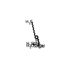 CCCCCCCCCCCc1ccc(CCCC(CO)(CO)NC(=O)OC(C)(C)C)cc1